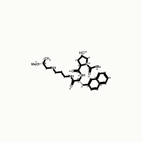 CO[C@H](C)CNCCCNC(=O)[C@@H](Cc1ccc2ccccc2c1)NC(=O)C1CCCN1C(=O)C(C)(C)C.Cl